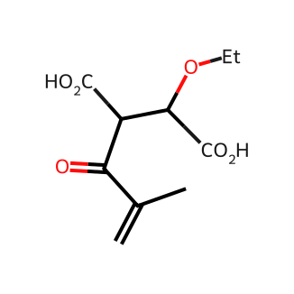 C=C(C)C(=O)C(C(=O)O)C(OCC)C(=O)O